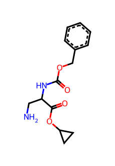 NCC(NC(=O)OCc1ccccc1)C(=O)OC1CC1